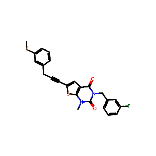 CSc1cccc(CC#Cc2cc3c(=O)n(Cc4cccc(F)c4)c(=O)n(C)c3s2)c1